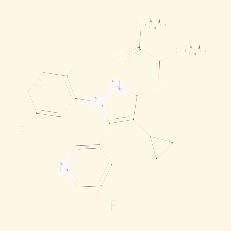 COC(=O)C(OC)Oc1nn(-c2cc(F)ccc2F)c(-c2cncc(F)c2)c1C1CC1